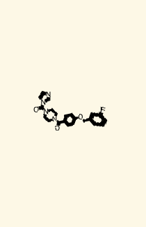 O=C(c1ccc(OCc2cccc(F)c2)cc1)N1CCN(C(=O)n2ccnc2)CC1